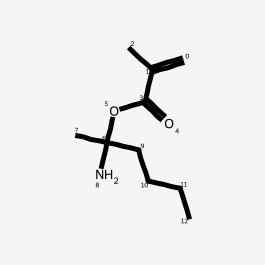 C=C(C)C(=O)OC(C)(N)CCCC